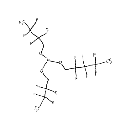 FC(F)(F)C(F)(F)C(F)(F)COP(OCC(F)(F)C(F)(F)C(F)(F)F)OCC(F)(F)C(F)(F)C(F)(F)C(F)(F)F